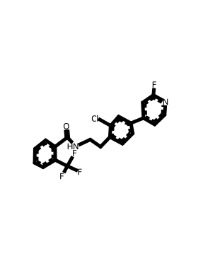 O=C(NCCc1ccc(-c2ccnc(F)c2)cc1Cl)c1ccccc1C(F)(F)F